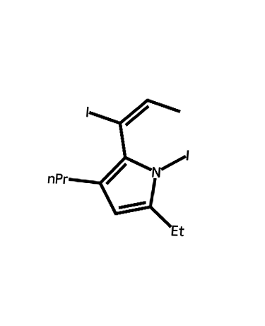 C/C=C(/I)c1c(CCC)cc(CC)n1I